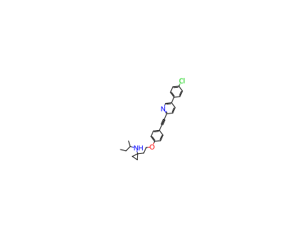 CCC(C)NC1(CCOc2ccc(C#Cc3ccc(-c4ccc(Cl)cc4)cn3)cc2)CC1